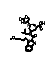 COCCCCn1c(C(=O)N(CC(C)C)[C@H]2C[C@@H](c3noc(=O)[nH]3)CN(C(=O)O)C2)nc2ccccc21